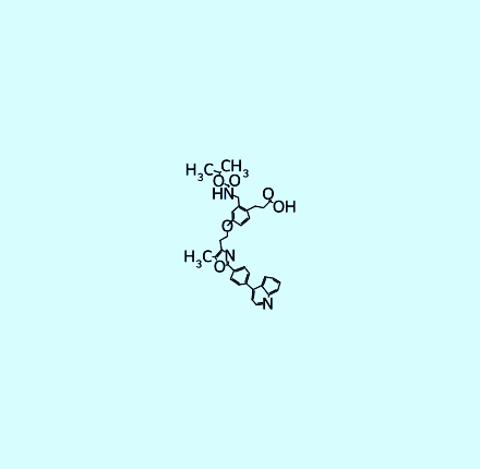 Cc1oc(-c2ccc(-c3ccnc4ccccc34)cc2)nc1CCOc1ccc(CCC(=O)O)c(CNC(=O)OC(C)C)c1